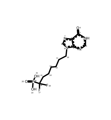 O=c1[nH]cnc2c1ncn2CCCCCCC(F)(F)P(=O)(O)O